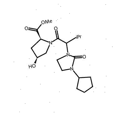 COC(=O)[C@@H]1C[C@H](O)CN1C(=O)C(C(C)C)N1CCN(C2CCCC2)C1=O